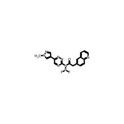 Cn1cc(-c2cnc(N(C(=O)Cc3ccc4ncccc4c3)N(F)F)nn2)cn1